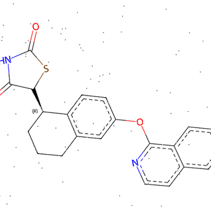 O=C1NC(=O)C([C@@H]2CCCc3cc(Oc4nccc5ccccc45)ccc32)S1